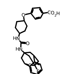 O=C(NC1CCC(Oc2ccc(C(=O)O)cc2)CC1)NC12CC3CC(F)(CC(C1)c1ccccc13)C2